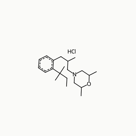 CCC(C)(C)c1ccccc1CC(C)CN1CC(C)OC(C)C1.Cl